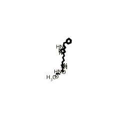 COCCNC(=O)c1nnc(CCCCc2cc3cc(Cc4ccccc4)[nH]c3nn2)s1